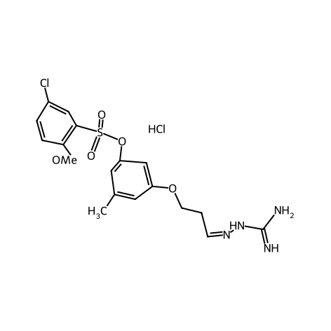 COc1ccc(Cl)cc1S(=O)(=O)Oc1cc(C)cc(OCC/C=N\NC(=N)N)c1.Cl